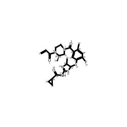 C=CC(=O)N1CCN(C(=O)c2cc(SC3SC(NC(=O)C4CC4)=NC3C)c(F)cc2C)C[C@H]1C